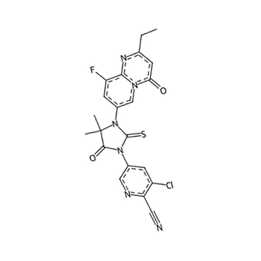 CCc1cc(=O)n2cc(N3C(=S)N(c4cnc(C#N)c(Cl)c4)C(=O)C3(C)C)cc(F)c2n1